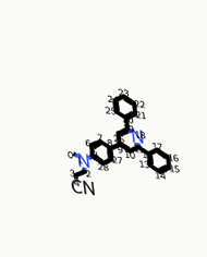 CN(CCC#N)c1ccc(-c2cc(-c3ccccc3)nc(-c3ccccc3)c2)cc1